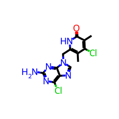 Cc1c(Cn2cnc3c(Cl)nc(N)nc32)[nH]c(=O)c(C)c1Cl